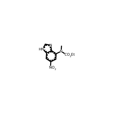 CCOC(=O)N(C)c1cc([N+](=O)[O-])cc2[nH]cnc12